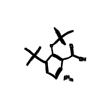 CC(C)(C)Oc1c(C(=O)O)cccc1C(C)(C)C.[AlH3]